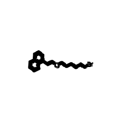 BrCCCCCCOCCc1cccc2ccccc12